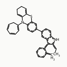 C=c1cccc/c1=c1/c(=C\C)[nH]c2ccc(-c3ccc4c(c3)SC3=CCCC=C3N4C3=CC=CC=CC3)cc12